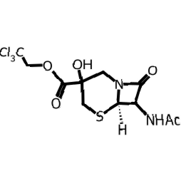 CC(=O)NC1C(=O)N2CC(O)(C(=O)OCC(Cl)(Cl)Cl)CS[C@H]12